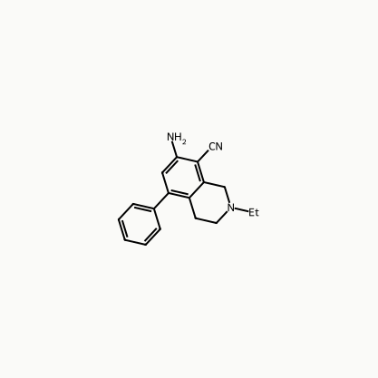 CCN1CCc2c(-c3ccccc3)cc(N)c(C#N)c2C1